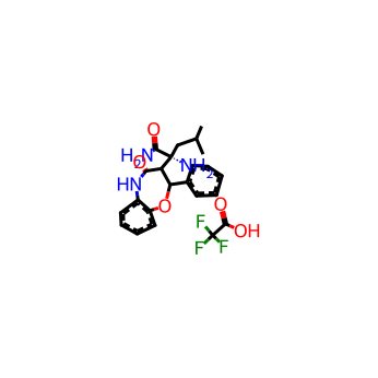 CC(C)C[C@](N)(C(N)=O)C1C(=O)Nc2ccccc2OC1c1ccccc1.O=C(O)C(F)(F)F